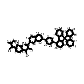 Cc1cnc2c(ccc3c(C)c(C)c(-c4ccc5ccc(-c6ccc(-c7cccc8c7-c7ccccc7C8(c7ccccc7)c7ccccc7)cc6)cc5c4)nc32)c1C